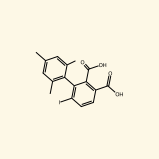 Cc1cc(C)c(-c2c(I)ccc(C(=O)O)c2C(=O)O)c(C)c1